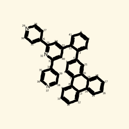 c1ccc(-c2ccc3c4ccccc4c4ccccc4c3c2)c(-c2cc(-c3ccncc3)nc(-c3ccncc3)c2)c1